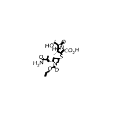 C=CCOC(=O)N1C[C@@H](SC2=C(C(=O)O)N3C(=O)[C@H]([C@@H](C)O)[C@H]3[C@H]2C)C[C@H]1/C=C(\C)C(N)=O